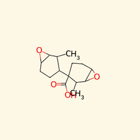 CC1C2OC2CCC1C1(C(=O)O)CCC2OC2C1C